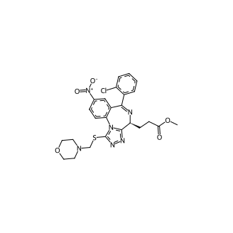 COC(=O)CC[C@@H]1N=C(c2ccccc2Cl)c2cc([N+](=O)[O-])ccc2-n2c(SCN3CCOCC3)nnc21